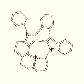 c1ccc(-n2c3ccc4ccccc4c3c3c2c2ccccc2c2c4ccccc4n(-c4ccccn4)c23)cc1